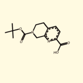 CC(C)(C)OC(=O)N1CCc2ccc(C(=O)O)nc2C1